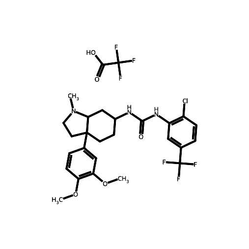 COc1ccc(C23CCC(NC(=O)Nc4cc(C(F)(F)F)ccc4Cl)CC2N(C)CC3)cc1OC.O=C(O)C(F)(F)F